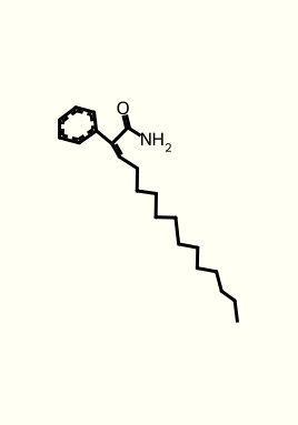 CCCCCCCCCCCCC=C(C(N)=O)c1ccccc1